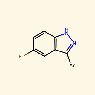 CC(=O)c1n[nH]c2ccc(Br)cc12